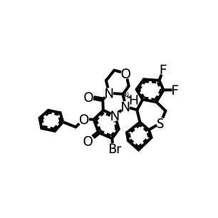 O=C1c2c(OCc3ccccc3)c(=O)c(Br)cn2N(C2c3ccccc3SCc3c2ccc(F)c3F)[C@@H]2COCCN12